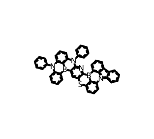 c1ccc(N2c3ccccc3B3c4cc5c(nc4N(c4ccccc4)c4cccc2c43)B2c3c(cccc3-n3c4ccccc4c4cccc2c43)S5)cc1